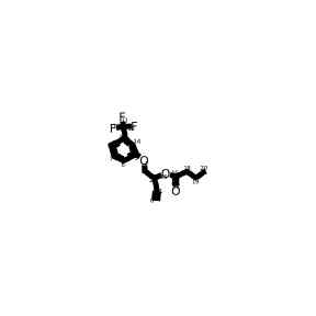 C#CC(COc1cccc(C(F)(F)F)c1)OC(=O)CCC